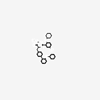 COC(=O)C(Cc1ccc(-c2ccccc2Oc2ccccc2)cc1)NC(=O)c1cc(Br)ccc1OC1CCCCC1